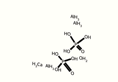 O.O=P(O)(O)O.O=P(O)(O)O.[AlH3].[AlH3].[AlH3].[CaH2]